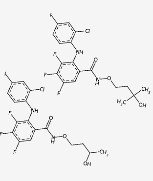 CC(C)(O)CCONC(=O)c1cc(F)c(F)c(F)c1Nc1ccc(I)cc1Cl.CC(O)CCONC(=O)c1cc(F)c(F)c(F)c1Nc1ccc(I)cc1Cl